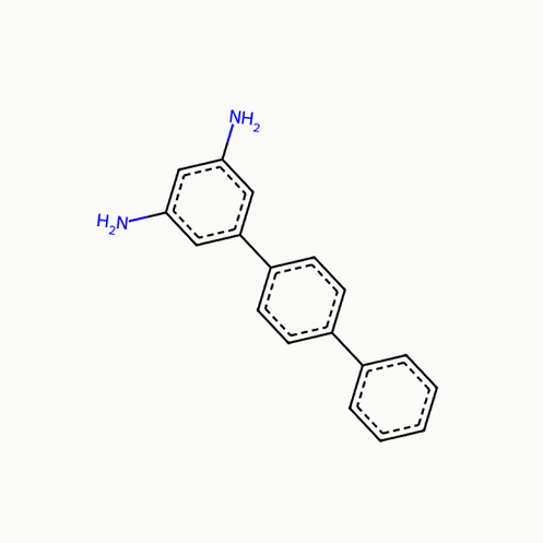 Nc1cc(N)cc(-c2ccc(-c3ccccc3)cc2)c1